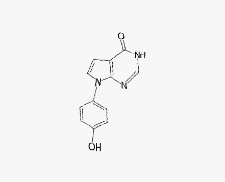 O=c1[nH]cnc2c1ccn2-c1ccc(O)cc1